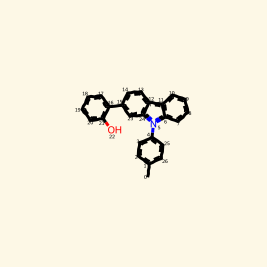 Cc1ccc(-n2c3ccccc3c3ccc(-c4ccccc4O)cc32)cc1